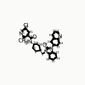 O=C(N[C@H]1CC[C@H](Cn2c(=O)n(-c3ccc4ncccc4c3)c3ccccc32)CC1)c1cc(Cl)cnc1C(F)(F)F